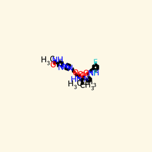 CNC(=O)c1ccc(N2CCN(CCOCC(=O)N[C@H](C(=O)N3CCC[C@H]3C(=O)NCc3cc(F)ccc3F)C(C)(C)C)CC2)nc1